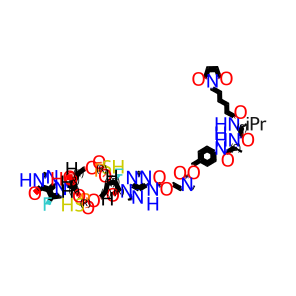 CC(C)[C@H](NC(=O)CCCCCN1C(=O)C=CC1=O)C(=O)N[C@@H](C)C(=O)Nc1ccc(COC(=O)N(C)CCOC(=O)Nc2ncnc3c2ncn3[C@@H]2O[C@@H]3CO[P@@](=O)(S)O[C@H]4C(n5cc(F)c6c(=O)[nH]cnc65)O[C@H](CO[P@@](=O)(S)O[C@H]3[C@H]2F)[C@H]4O)cc1